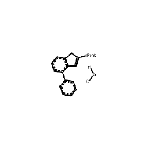 CCCCCC1=Cc2c(cccc2-c2ccccc2)[CH]1.[Cl][Zr][Cl]